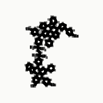 CC(C)(C)c1ccc(-c2cccc(N3c4cccc5c4B(c4ccc(N(c6ccc(C(C)(C)C)cc6)c6ccc(C(C)(C)CCC(C)(C)c7ccc(N8c9cc(C%10CCCCC%10)cc%10c9B(c9ccc(C(C)(C)C)cc9N%10c9ccc(C(C)(C)C)cc9)c9oc%10ccccc%10c98)cc7)cc6)cc4N5c4ccccc4)c4c3c3ccccc3n4-c3ccccc3)c2)cc1